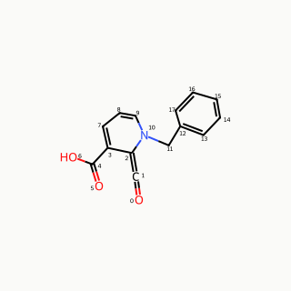 O=C=C1C(C(=O)O)=CC=CN1Cc1ccccc1